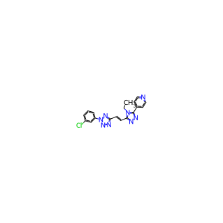 CCn1c(/C=C/c2nnn(-c3cccc(Cl)c3)n2)nnc1-c1ccncc1